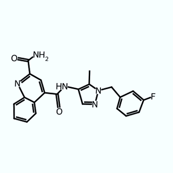 Cc1c(NC(=O)c2cc(C(N)=O)nc3ccccc23)cnn1Cc1cccc(F)c1